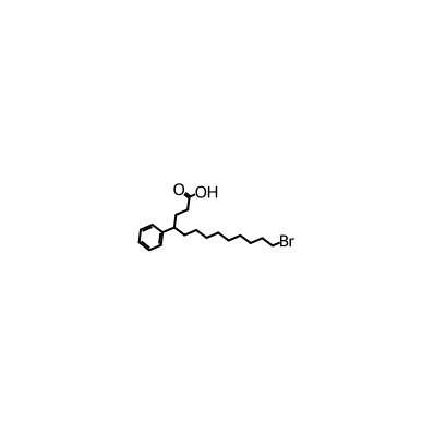 O=C(O)CCC(CCCCCCCCCBr)c1ccccc1